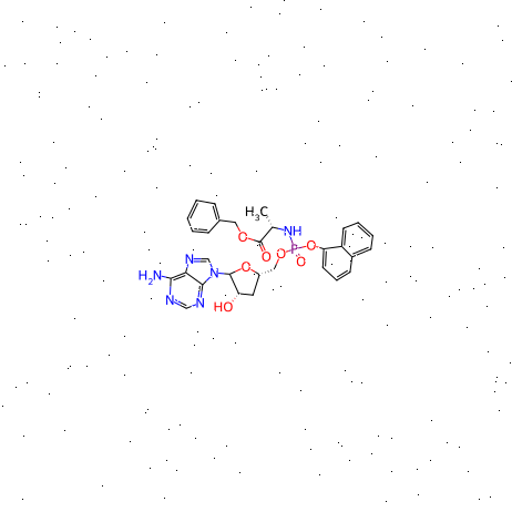 C[C@H](NP(=O)(OC[C@@H]1C[C@H](O)C(n2cnc3c(N)ncnc32)O1)Oc1cccc2ccccc12)C(=O)OCc1ccccc1